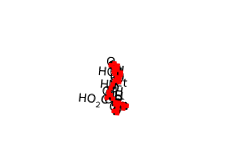 CCC(=O)O[C@]1(C(=O)COCNC(=O)CNC(=O)[C@H](CCC(=O)O)NC(=O)CCN2C(=O)C(Sc3ccccc3)=C(Sc3ccccc3)C2=O)[C@@H](C)CC2[C@@H]3CCC4=CC(=O)C=C[C@]4(C)[C@@]3(Cl)[C@@H](O)C[C@@]21C